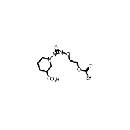 CCC(=O)OCCOn1on1N1CCCC(C(=O)O)C1